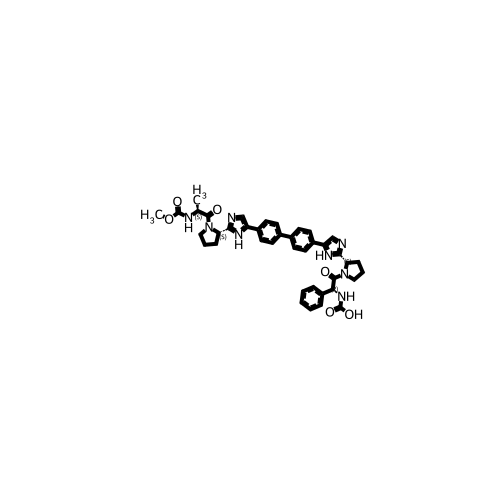 COC(=O)N[C@@H](C)C(=O)N1CCC[C@H]1c1ncc(-c2ccc(-c3ccc(-c4cnc([C@@H]5CCCN5C(=O)[C@H](NC(=O)O)c5ccccc5)[nH]4)cc3)cc2)[nH]1